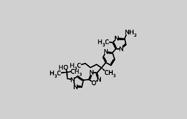 CCCC[C@](C)(c1ccc(-c2ncc(N)nc2C)nc1)c1noc(-c2cnn(CC(C)(C)O)c2)n1